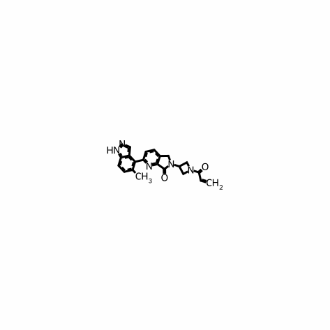 C=CC(=O)N1CC(N2Cc3ccc(-c4c(C)ccc5[nH]ncc45)nc3C2=O)C1